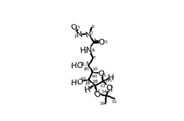 CN(N=O)C(=O)NC[C@@H](O)[C@H]1O[C@@H]2OC(C)(C)O[C@@H]2[C@H]1O